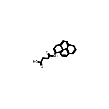 O=C(O)CCC(=O)NC1=CCc2ccc3c4c(ccc1c24)C=CC3